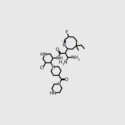 CCC1(C)CCC(F)/C=N\C(C(C(=O)NC2CNCC(Cl)C2N2CCC(C(=O)N3CCNCC3)CC2)C(N)N)C1